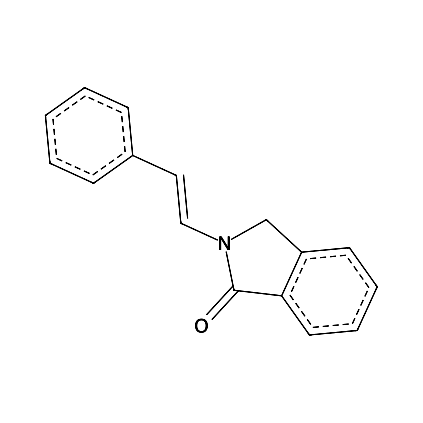 O=C1c2ccccc2CN1C=Cc1ccccc1